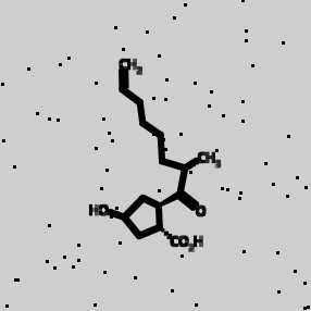 C=CCCCCC(C)C(=O)[C@@H]1CC(O)C[C@H]1C(=O)O